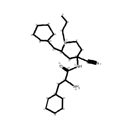 CCCN1CCC(C#N)(NC(=O)C(N)CC2CCCCC2)CC1CC1CCCCC1